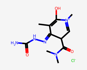 CC1=C(O)[N+](C)=CC(C(=O)N(C)C)C1=NNC(N)=O.[Cl-]